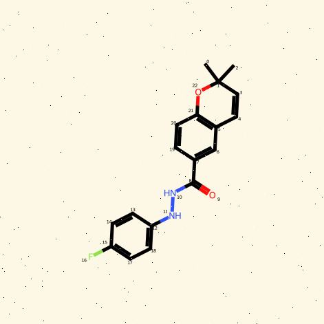 CC1(C)C=Cc2cc(C(=O)NNc3ccc(F)cc3)ccc2O1